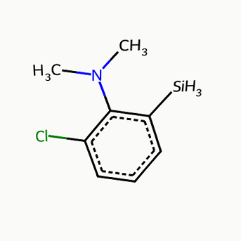 CN(C)c1c([SiH3])cccc1Cl